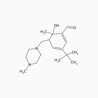 CN1CCN(CC2C=C(C(C)(C)C)C=C(C=O)C2(C)O)CC1